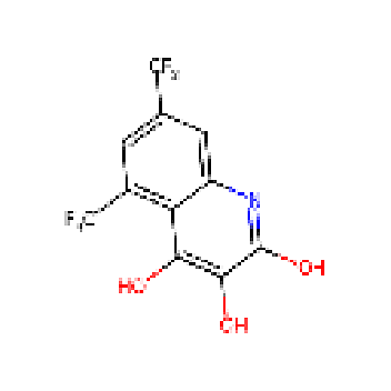 Oc1nc2cc(C(F)(F)F)cc(C(F)(F)F)c2c(O)c1O